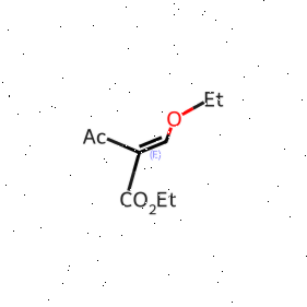 CCO/C=C(\C(C)=O)C(=O)OCC